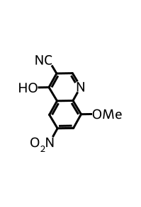 COc1cc([N+](=O)[O-])cc2c(O)c(C#N)cnc12